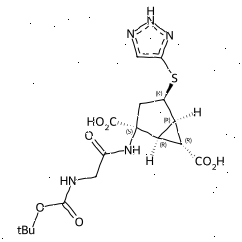 CC(C)(C)OC(=O)NCC(=O)N[C@@]1(C(=O)O)C[C@@H](Sc2cn[nH]n2)[C@H]2[C@H](C(=O)O)[C@H]21